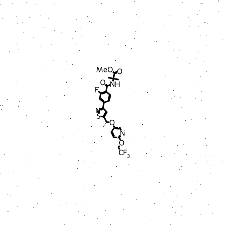 COC(=O)C(C)(C)NC(=O)c1ccc(-c2cc([C@@H](C)Oc3ccc(OCC(F)(F)F)nc3)sn2)cc1F